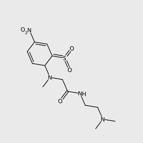 CN(C)CCNC(=O)CN(C)C1C=CC([N+](=O)[O-])=CC1=S(=O)=O